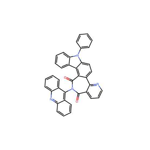 O=c1c2cccnc2c2ccc3c(c4ccccc4n3-c3ccccc3)c2c(=O)n1-c1c2ccccc2nc2ccccc12